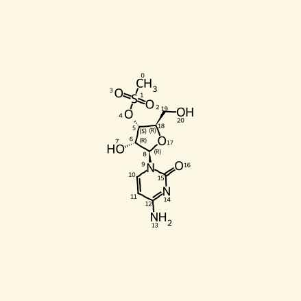 CS(=O)(=O)O[C@H]1[C@@H](O)[C@H](n2ccc(N)nc2=O)O[C@@H]1CO